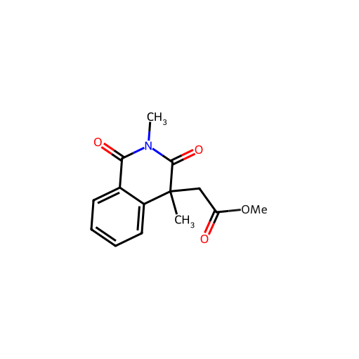 COC(=O)CC1(C)C(=O)N(C)C(=O)c2ccccc21